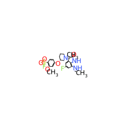 CCNc1cc(F)cc2c1NC(=O)[C@]2(C)N1CCC[C@@H](Oc2ccc(S(=O)(=O)F)c(OC)c2)C1